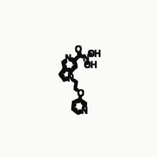 O=C(c1cc2c(ccn2CCOc2cccnc2)cn1)N(O)O